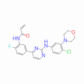 C=CC(=O)Nc1cc(-c2ccnc(Nc3ccc(Cl)c(N4CCOCC4)c3)n2)ccc1F